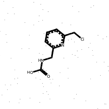 O=C(O)NCc1cccc(CCl)n1